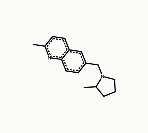 Cc1ccc2cc(CN3CCCC3C)ccc2n1